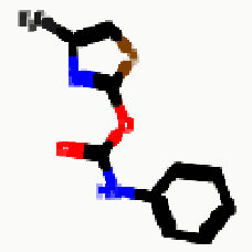 O=C(Nc1ccccc1)Oc1nc(C(F)(F)F)cs1